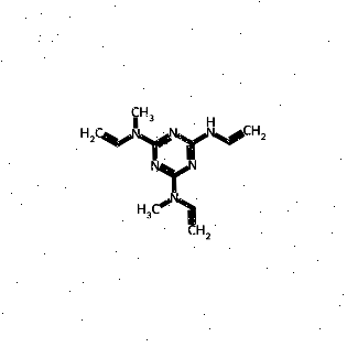 C=CNc1nc(N(C)C=C)nc(N(C)C=C)n1